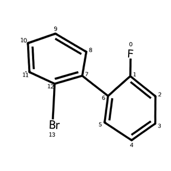 Fc1ccccc1-c1ccc[c]c1Br